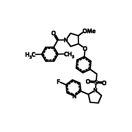 COC1CN(C(=O)c2cc(C)ccc2C)CC1Oc1cccc(CS(=O)(=O)N2CCCC2c2ccc(F)cn2)c1